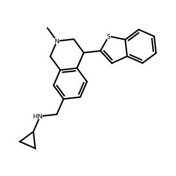 CN1Cc2cc(CNC3CC3)ccc2C(c2cc3ccccc3s2)C1